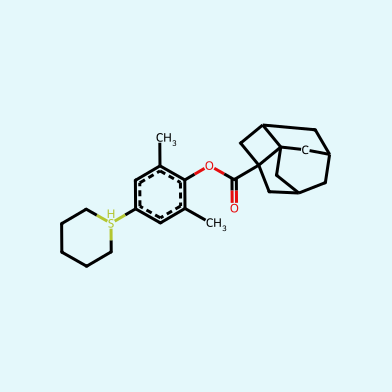 Cc1cc([SH]2CCCCC2)cc(C)c1OC(=O)C12CC3CC4CC(C1)C2(C4)C3